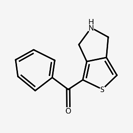 O=C(c1ccccc1)c1scc2c1CNC2